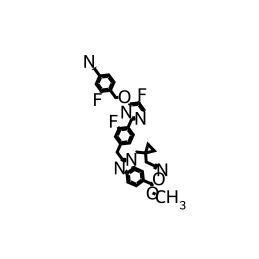 COC(=O)c1ccc2nc(Cc3ccc(-c4ncc(F)c(OCc5ccc(C#N)cc5F)n4)c(F)c3)n(CC3(CC#N)CC3)c2c1